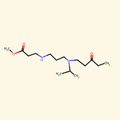 CCC(=O)CCN(CCCNCCC(=O)OC)C(C)C